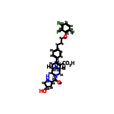 O=C(O)C1=C(c2ccc(CCCOc3c(F)ccc(F)c3F)cc2)C[C@@H]2CN(C(=O)C3C[C@@H](O)CN3)C[C@H]1N2